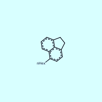 CCCCCCc1ccc2c3c(cccc13)CC2